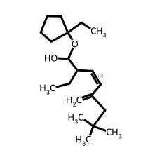 C=C(/C=C\C(CC)C(O)OC1(CC)CCCC1)CC(C)(C)C